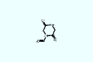 O=CN1CC(=O)NCC1=O